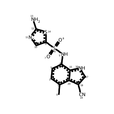 Cc1ccc(NS(=O)(=O)c2cnc(N)s2)c2[nH]cc(C#N)c12